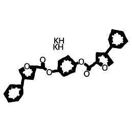 O=C(Oc1ccc(OC(=O)c2cc(-c3ccccc3)co2)cc1)c1cc(-c2ccccc2)co1.[KH].[KH]